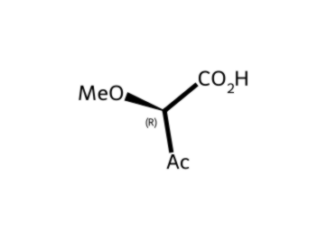 CO[C@H](C(C)=O)C(=O)O